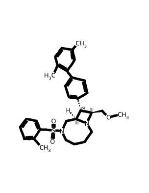 COC[C@@H]1[C@@H](c2ccc(-c3cc(C)ccc3C)cc2)[C@@H]2CN(S(=O)(=O)c3ccccc3C)CCCCN12